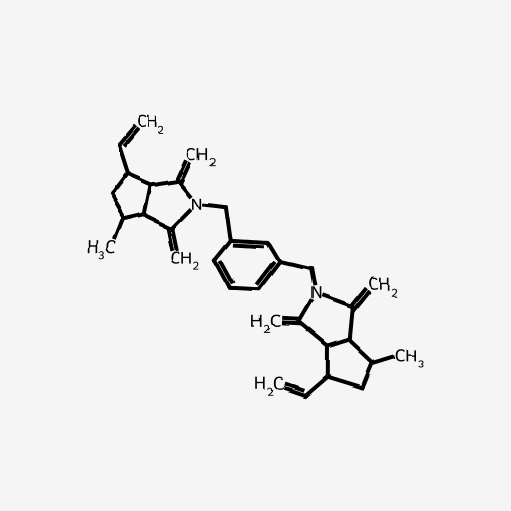 C=CC1CC(C)C2C(=C)N(Cc3cccc(CN4C(=C)C5C(C)CC(C=C)C5C4=C)c3)C(=C)C12